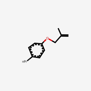 C=C(C)COc1ccc(CCC)cc1